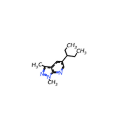 CCC(CC)c1cnc2c(c1)c(C)nn2C